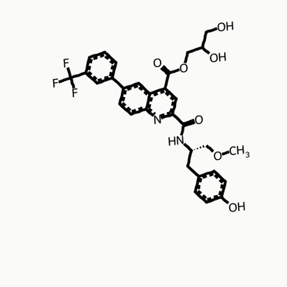 COC[C@H](Cc1ccc(O)cc1)NC(=O)c1cc(C(=O)OCC(O)CO)c2cc(-c3cccc(C(F)(F)F)c3)ccc2n1